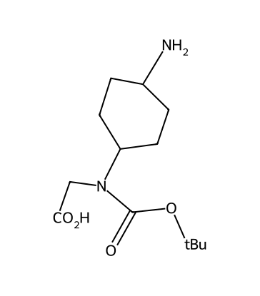 CC(C)(C)OC(=O)N(CC(=O)O)C1CCC(N)CC1